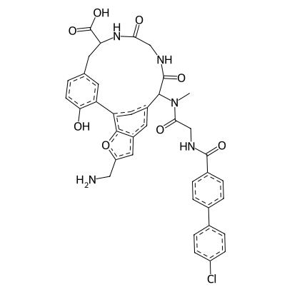 CN(C(=O)CNC(=O)c1ccc(-c2ccc(Cl)cc2)cc1)C1C(=O)NCC(=O)NC(C(=O)O)Cc2ccc(O)c(c2)-c2cc1cc1cc(CN)oc21